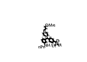 CCCNc1cccc([C@@H](c2ccc(C(=O)N(CC)CC)cc2)N2CCN(CCCOC)CC2)c1